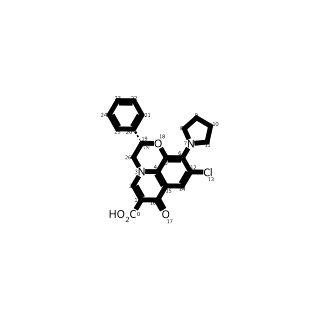 O=C(O)c1cn2c3c(c(N4CCCC4)c(Cl)cc3c1=O)O[C@@H](c1ccccc1)C2